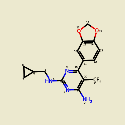 Nc1nc(NCC2CC2)nc(-c2ccc3c(c2)OCO3)c1C(F)(F)F